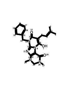 CC(C)=CCc1c(O)n2c3c(nc2n(Cc2ccccc2)c1=O)N(C)CN(C)C3=O